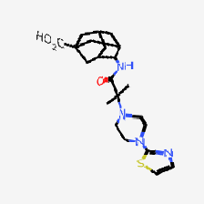 CC(C)(C(=O)NC1C2CC3CC1CC(C(=O)O)(C3)C2)N1CCN(c2nccs2)CC1